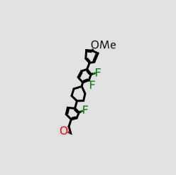 COc1ccc(-c2ccc(C3CCC(c4ccc(C5CO5)cc4F)CC3)c(F)c2F)cc1